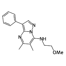 COCCNc1c(C)c(C)nc2c(-c3ccccc3)cnn12